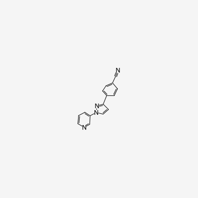 N#Cc1ccc(-c2ccn(-c3cccnc3)n2)cc1